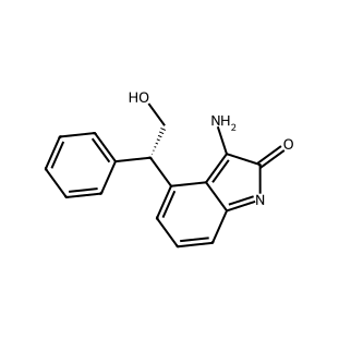 NC1=c2c([C@@H](CO)c3ccccc3)cccc2=NC1=O